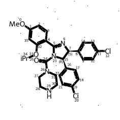 COc1ccc(C2=N[C@@H](c3ccc(Cl)cc3)[C@@H](c3ccc(Cl)cc3)N2C(=O)N2CCNCC2)c(OC(C)C)c1